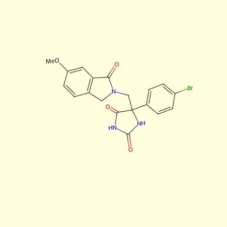 COc1ccc2c(c1)C(=O)N(CC1(c3ccc(Br)cc3)NC(=O)NC1=O)C2